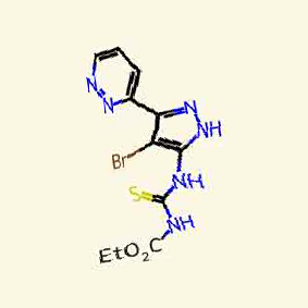 CCOC(=O)NC(=S)Nc1[nH]nc(-c2cccnn2)c1Br